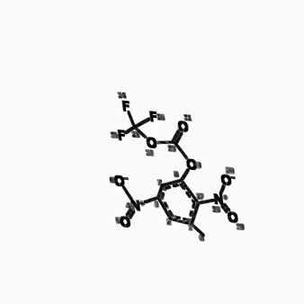 Cc1cc([N+](=O)[O-])cc(OC(=O)OC(F)(F)F)c1[N+](=O)[O-]